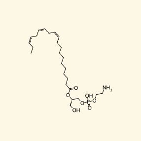 CC/C=C\C/C=C\C/C=C\CCCCCCCCCC(=O)O[C@H](CO)COP(=O)(O)OCCN